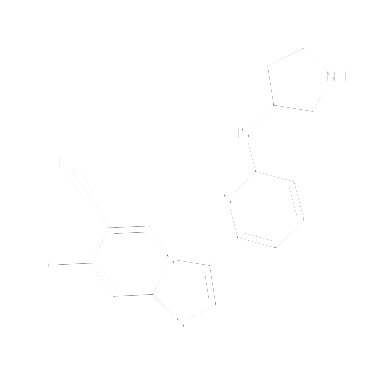 C#Cc1cn2c(-c3cccc(NC4CCNC4)n3)cnc2cc1C